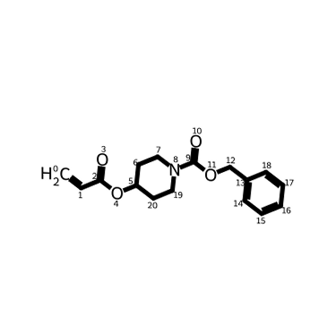 C=CC(=O)OC1CCN(C(=O)OCc2ccccc2)CC1